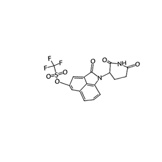 O=C1CCC(N2C(=O)c3cc(OS(=O)(=O)C(F)(F)F)cc4cccc2c34)C(=O)N1